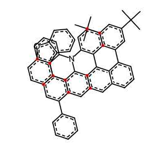 CC(C)(C)c1cc(-c2cccc3cccc(-c4ccccc4N(c4ccccc4-c4ccc(-c5ccccc5)cc4)c4ccccc4-c4cccc5oc6ccccc6c45)c23)cc(C(C)(C)C)c1